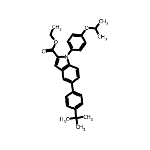 CCOC(=O)c1cc2cc(-c3ccc(C(C)(C)C)cc3)ccc2n1-c1ccc(OC(C)C)cc1